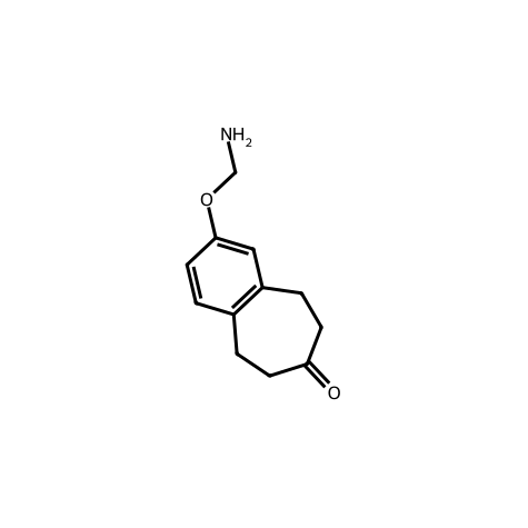 NCOc1ccc2c(c1)CCC(=O)CC2